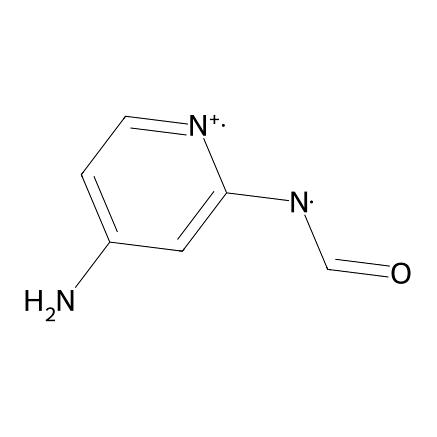 NC1=CC=[N+]C([N]C=O)=C1